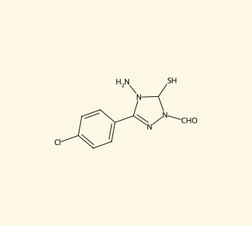 NN1C(c2ccc(Cl)cc2)=NN(C=O)C1S